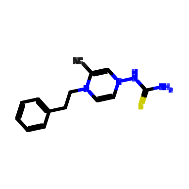 N#CC1=CN(NC(N)=S)C=CN1CCc1ccccc1